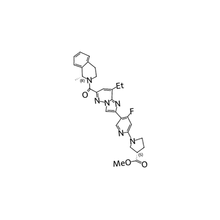 CCc1cc(C(=O)N2CCc3ccccc3[C@H]2C)nn2cc(-c3cnc(N4CC[C@H](C(=O)OC)C4)cc3F)nc12